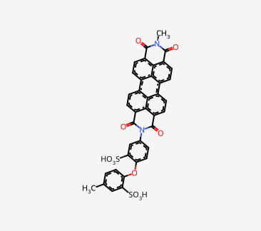 Cc1ccc(Oc2ccc(N3C(=O)c4ccc5c6ccc7c8c(ccc(c9ccc(c4c59)C3=O)c86)C(=O)N(C)C7=O)cc2S(=O)(=O)O)c(S(=O)(=O)O)c1